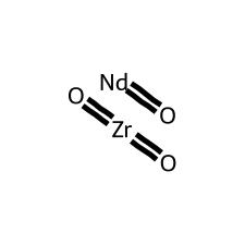 [O]=[Nd].[O]=[Zr]=[O]